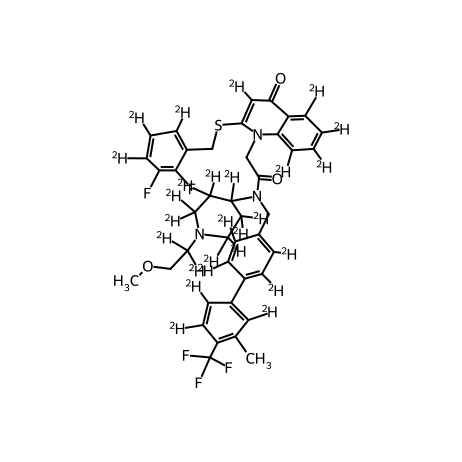 [2H]c1c([2H])c(F)c(F)c(CSc2c([2H])c(=O)c3c([2H])c([2H])c([2H])c([2H])c3n2CC(=O)N(Cc2c([2H])c([2H])c(-c3c([2H])c([2H])c(C(F)(F)F)c(C)c3[2H])c([2H])c2[2H])C2([2H])C([2H])([2H])C([2H])([2H])N(C([2H])([2H])COC)C([2H])([2H])C2([2H])[2H])c1[2H]